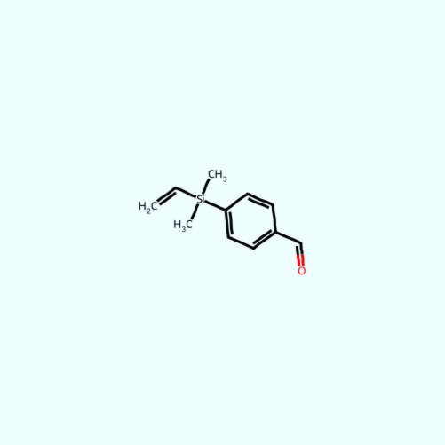 C=C[Si](C)(C)c1ccc(C=O)cc1